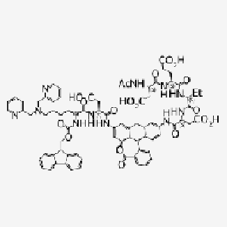 CC[C@H](NC(=O)[C@H](CCC(=O)O)NC(=O)[C@H](CC(=O)O)NC(C)=O)C(=O)N[C@@H](CC(=O)O)C(=O)Nc1ccc2c(c1)CC1=CC(NC(=O)[C@H](CC(=O)O)NC(=O)[C@H](CCCCN(Cc3ccccn3)Cc3ccccn3)NC(=O)OCC3c4ccccc4-c4ccccc43)=CC3OC(=O)c4ccccc4C2C13